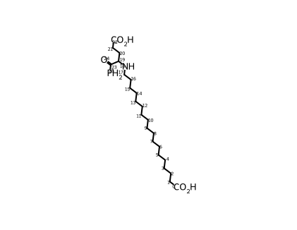 O=C(O)CCCCCCCCCCCCCCCCCNC(CCC(=O)O)C(=O)P